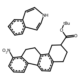 C1=Cc2ccccc2C=CN1.CC(C)(C)OC(=O)C1CCc2ccc3c(c2C1)CCc1c-3cccc1[N+](=O)[O-]